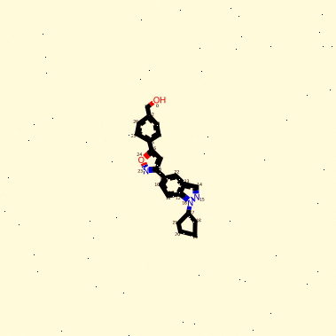 OCc1ccc(-c2cc(-c3ccc4c(cnn4C4CCCC4)c3)no2)cc1